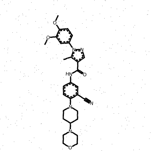 COc1ccc(-n2ncc(C(=O)Nc3ccc(N4CCC(N5CCOCC5)CC4)c(C#N)c3)c2C)cc1OC